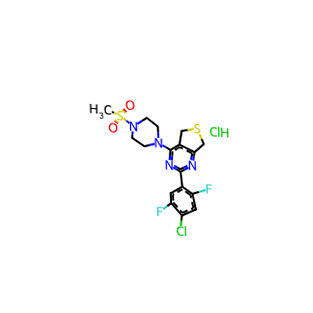 CS(=O)(=O)N1CCN(c2nc(-c3cc(F)c(Cl)cc3F)nc3c2CSC3)CC1.Cl